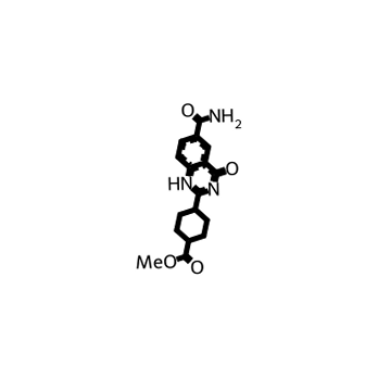 COC(=O)C1CCC(c2nc(=O)c3cc(C(N)=O)ccc3[nH]2)CC1